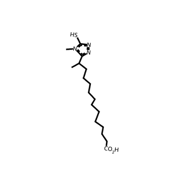 CC(CCCCCCCCCCCC(=O)O)c1nnc(S)n1C